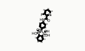 O=C(Nc1ccc(N2S(O)(O)c3ccccc3S2(O)O)cc1)c1ncccc1F